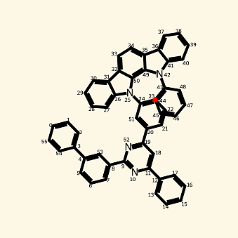 c1ccc(-c2cccc(-c3nc(-c4ccccc4)cc(-c4cccc(-n5c6ccccc6c6ccc7c8ccccc8n(-c8ccccc8)c7c65)c4)n3)c2)cc1